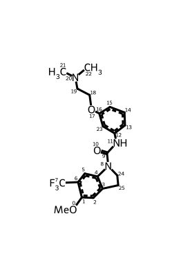 COc1cc2c(cc1C(F)(F)F)N(C(=O)Nc1cccc(OCCN(C)C)c1)CC2